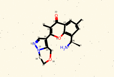 Cc1cc([C@@H](C)N)c2oc(-c3cnn4c3COCC4)c(C)c(=O)c2c1